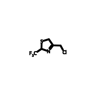 FC(F)(F)C1N=C(CCl)CS1